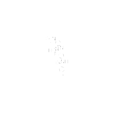 O=C(Nc1ccc(-c2nc3ccc([N+](=O)[O-])cc3n2O)c(F)c1)c1ccc(F)cc1